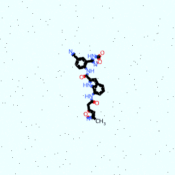 Cc1cc(CC(=O)Nc2cccc3cc(C(=O)Nc4ccc(C#N)cc4-c4noc(=O)[nH]4)[nH]c23)on1